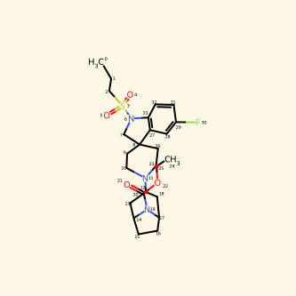 CCCS(=O)(=O)N1CC2(CCN(C3CC4CCC(C3)N4C(=O)OCC)CC2)c2cc(F)ccc21